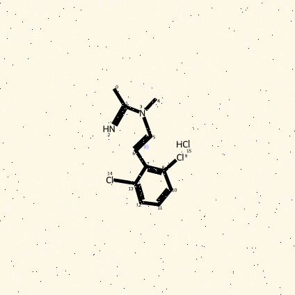 CC(=N)N(C)/C=C/c1c(Cl)cccc1Cl.Cl